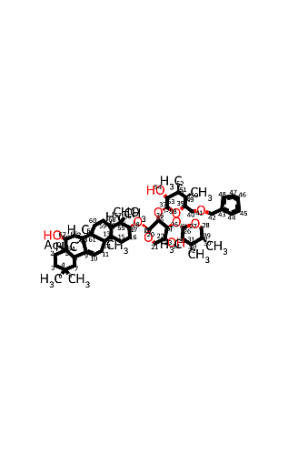 CC(=O)[C@]12CCC(C)(C)CC1C1=CCC3C4(C)CC[C@H](O[C@@H]5OC[C@@H](O)[C@H](O[C@@H]6OC[C@@H](C)[C@H](C)C6C)C5O[C@@H]5OC(COCc6ccccc6)[C@H](C)[C@H](C)C5O)[C@](C)(C=O)[C@@H]4CC[C@]3(C)[C@]1(C)CC2O